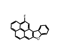 Fc1cc2c3c(cc4ccc5cccc1c5c42)oc1ccccc13